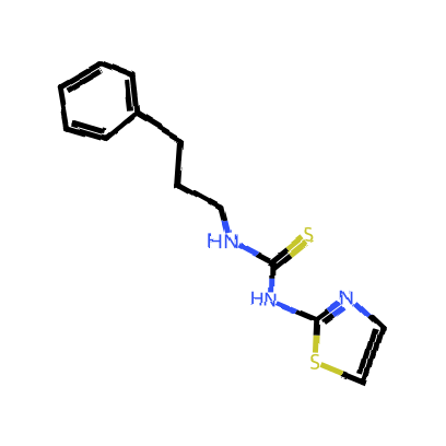 S=C(NCCCc1ccccc1)Nc1nccs1